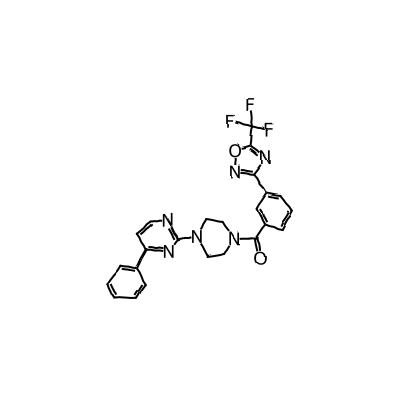 O=C(c1cccc(-c2noc(C(F)(F)F)n2)c1)N1CCN(c2nccc(-c3ccccc3)n2)CC1